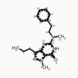 CCCc1nn(C)c2c(=O)[nH]c(N(C)CCc3ccccc3)nc12